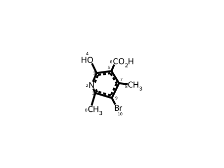 Cc1nc(O)c(C(=O)O)c(C)c1Br